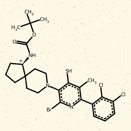 Cc1c(-c2cccc(Cl)c2Cl)nc(Br)c(N2CCC3(CCC[C@H]3NC(=O)OC(C)(C)C)CC2)c1S